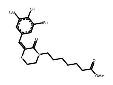 COC(=O)CCCCCCN1CCS/C(=C/c2cc(C(C)(C)C)c(O)c(C(C)(C)C)c2)C1=O